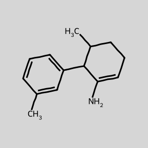 Cc1cccc(C2C(N)=CCCC2C)c1